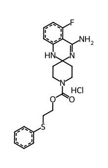 Cl.NC1=NC2(CCN(C(=O)OCCSc3ccccc3)CC2)Nc2cccc(F)c21